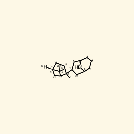 CC1(C2CC3BC(CCC3)C2)CC[C@H]2CC1C2(C)C